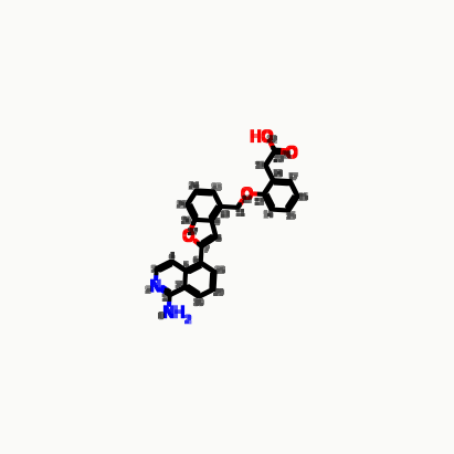 Nc1nccc2c(-c3cc4c(COc5ccccc5CC(=O)O)cccc4o3)cccc12